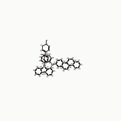 CC1C=CC(C2(C)C=CC(N(c3ccc4c(ccc5c6ccccc6ccc45)c3)c3cccc4c5ccccc5n(-c5ccccc5)c34)=CC2)=CC1